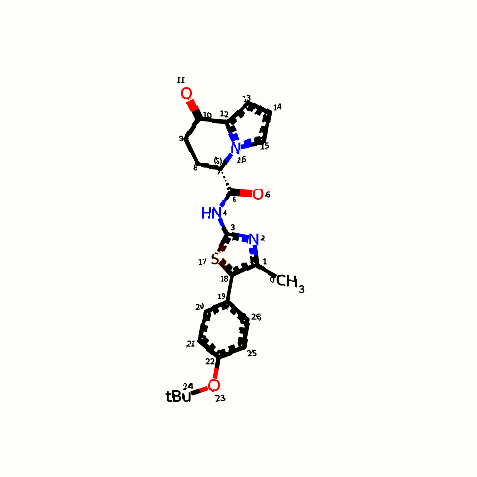 Cc1nc(NC(=O)[C@@H]2CCC(=O)c3cccn32)sc1-c1ccc(OC(C)(C)C)cc1